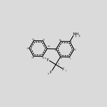 Nc1ccc(C(F)(F)F)c(-c2ccccc2)c1